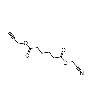 C#CCOC(=O)CCCCC(=O)OCC#N